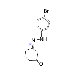 O=C1CCC/C(=N/Nc2ccc(Br)cc2)C1